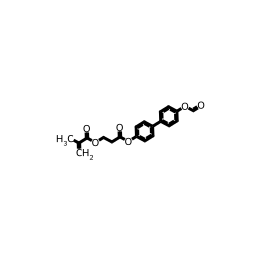 C=C(C)C(=O)OCCC(=O)Oc1ccc(-c2ccc(OC=O)cc2)cc1